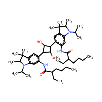 CCCCC(CC)C(=O)Nc1cc2c(cc1C1C(O)C(c3cc4c(cc3NC(=O)C(CC)CCCC)N(C(C)C)C(C)C4(C)C)C1O)C(C)(C)C(C)N2C(C)C